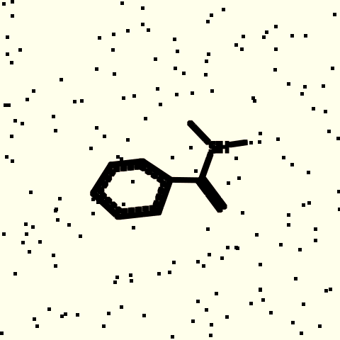 C=C(c1ccccc1)[SiH](C)C